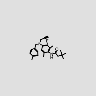 C#CCN(Cc1ccc(C)cc1)c1cc(C)c(NC(=O)CC(C)(C)C)c(C)c1F